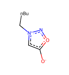 CCCCC[n+]1cc([O-])on1